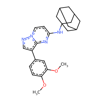 COc1ccc(-c2cnn3ccc(NC45CC6CC(CC(C6)C4)C5)nc23)cc1OC